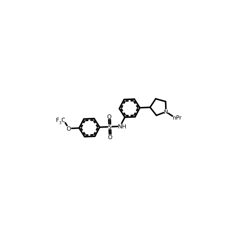 CCCN1CCC(c2cccc(NS(=O)(=O)c3ccc(OC(F)(F)F)cc3)c2)C1